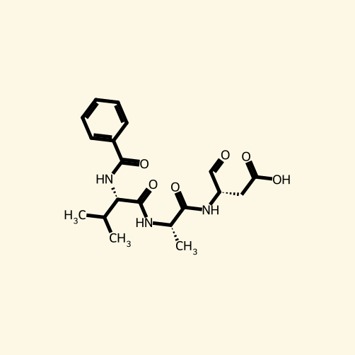 CC(C)[C@H](NC(=O)c1ccccc1)C(=O)N[C@@H](C)C(=O)N[C@H](C=O)CC(=O)O